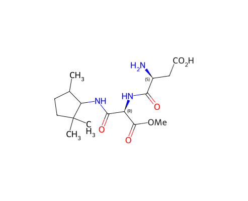 COC(=O)[C@H](NC(=O)[C@@H](N)CC(=O)O)C(=O)NC1C(C)CCC1(C)C